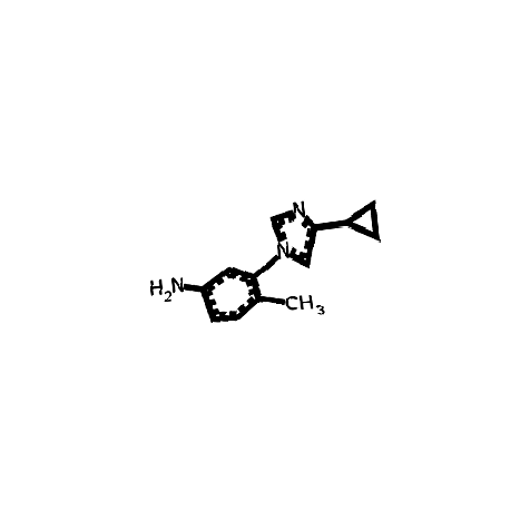 Cc1ccc(N)cc1-n1cnc(C2CC2)c1